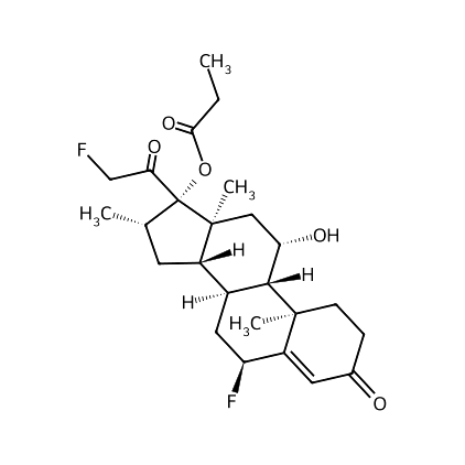 CCC(=O)O[C@@]1(C(=O)CF)[C@@H](C)C[C@H]2[C@@H]3C[C@H](F)C4=CC(=O)CC[C@]4(C)[C@H]3[C@@H](O)C[C@@]21C